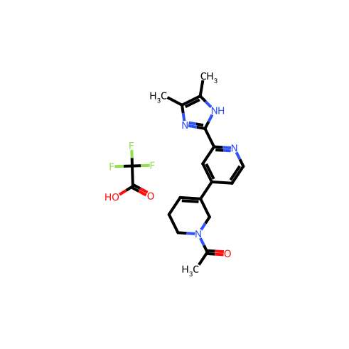 CC(=O)N1CCC=C(c2ccnc(-c3nc(C)c(C)[nH]3)c2)C1.O=C(O)C(F)(F)F